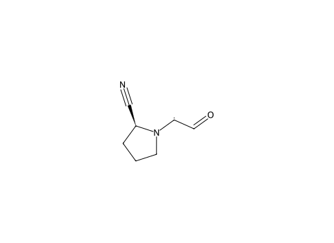 N#C[C@@H]1CCCN1[CH]C=O